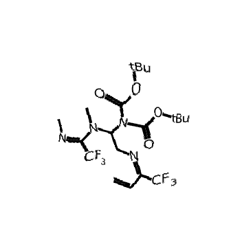 C=C/C(=N\CC(N(C(=O)OC(C)(C)C)C(=O)OC(C)(C)C)N(C)/C(=N\C)C(F)(F)F)C(F)(F)F